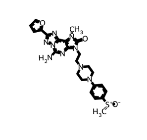 Cn1c(=O)n(CCN2CCN(c3ccc([S+](C)[O-])cc3)CC2)c2nc(N)n3nc(-c4ccco4)nc3c21